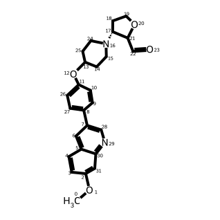 COc1ccc2cc(-c3ccc(OC4CCN([C@@H]5CCOC5C=O)CC4)cc3)cnc2c1